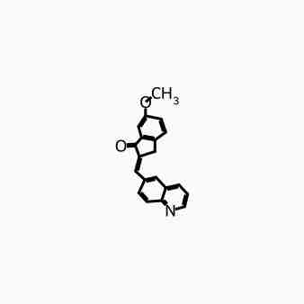 COc1ccc2c(c1)C(=O)C(=Cc1ccc3ncccc3c1)C2